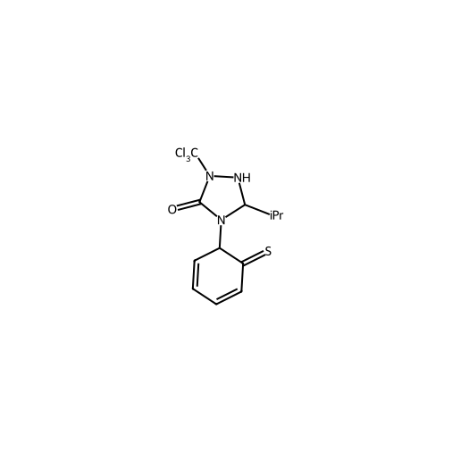 CC(C)C1NN(C(Cl)(Cl)Cl)C(=O)N1C1C=CC=CC1=S